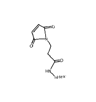 [CH2]CCCC[CH]NC(=O)CCN1C(=O)C=CC1=O